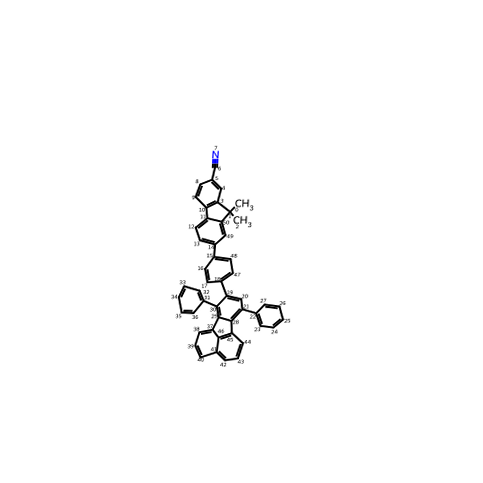 CC1(C)c2cc(C#N)ccc2-c2ccc(-c3ccc(-c4cc(-c5ccccc5)c5c(c4-c4ccccc4)-c4cccc6cccc-5c46)cc3)cc21